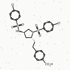 O=C(O)c1ccc(CC[C@@H]2C[C@@H](NS(=O)(=O)c3ccc(Cl)cc3)CN2S(=O)(=O)c2ccc(Cl)cc2)cc1